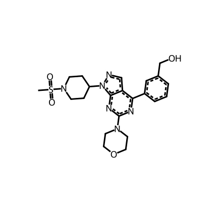 CS(=O)(=O)N1CCC(n2ncc3c(-c4cccc(CO)c4)nc(N4CCOCC4)nc32)CC1